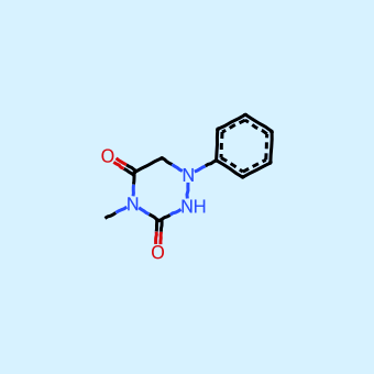 CN1C(=O)CN(c2ccccc2)NC1=O